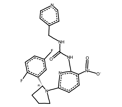 O=C(NCc1ccncc1)Nc1nc(N2CCC[C@@H]2c2cc(F)ccc2F)ccc1[N+](=O)[O-]